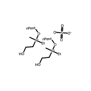 CCCCCO[N+](C)(CC)CCO.CCCCCO[N+](C)(CC)CCO.O=S(=O)([O-])[O-]